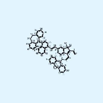 C=CC1=C(/C=C\CN2c3ccccc3Oc3ccccc32)c2ccc(/C=C/c3ccc(N4c5ccccc5CCc5ccccc54)c4ccccc34)cc2C1(C)C